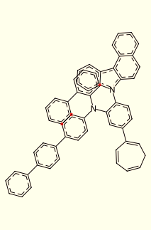 C1=CCC=C(c2ccc(-n3c4ccccc4c4c5ccccc5ccc43)c(N(c3ccc(-c4ccc(-c5ccccc5)cc4)cc3)c3ccccc3-c3ccccc3)c2)C=C1